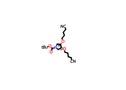 CC(C)(C)OC(=O)N1C[C@H](OCCCCC#N)[C@H](OCCCCC#N)C1